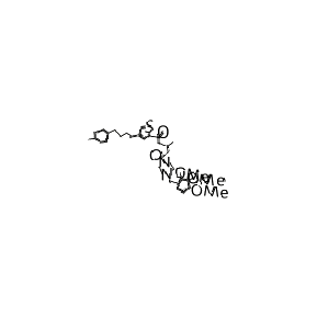 COc1ccc(CN2CCN(C(=O)CC(C)CC(=O)c3cc(CCCCc4ccc(C)cc4)cs3)CC2)c(OC)c1OC